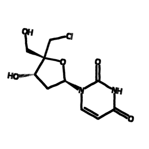 O=c1ccn([C@H]2C[C@H](O)[C@](CO)(CCl)O2)c(=O)[nH]1